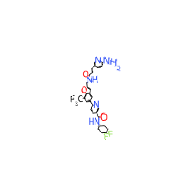 Nc1ccc(C=CC(=O)NCc2cc3cc(-c4ccc(C(=O)NC5CCC(F)(F)CC5)cn4)cc(C(F)(F)F)c3o2)cn1